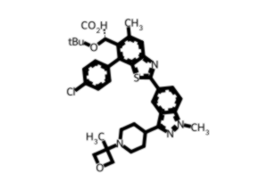 Cc1cc2nc(-c3ccc4c(c3)c(C3CCN(C5(C)COC5)CC3)nn4C)sc2c(-c2ccc(Cl)cc2)c1[C@H](OC(C)(C)C)C(=O)O